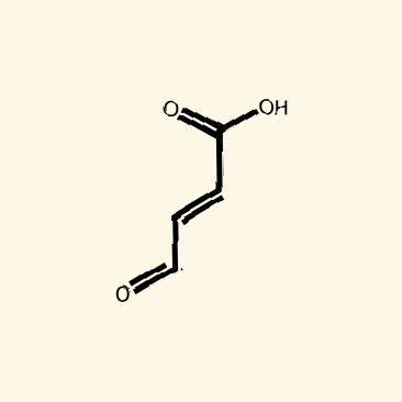 O=[C]C=CC(=O)O